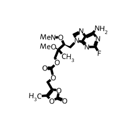 CNO[C@@H](Cn1cnc2c(N)nc(F)nc21)[C@@](C)(COC(=O)OCc1oc(=O)oc1C)OC